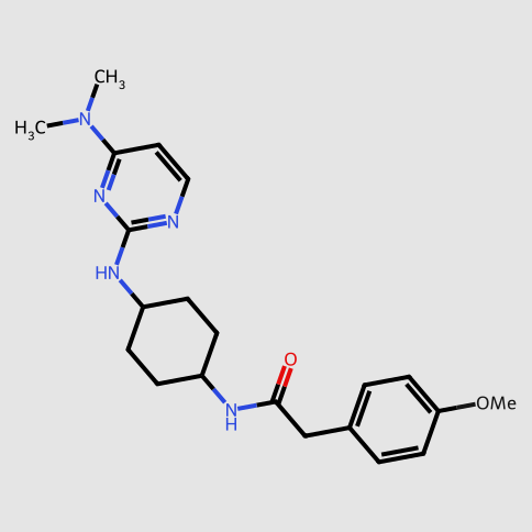 COc1ccc(CC(=O)NC2CCC(Nc3nccc(N(C)C)n3)CC2)cc1